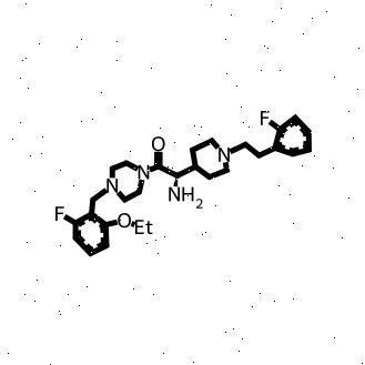 CCOc1cccc(F)c1CN1CCN(C(=O)[C@H](N)C2CCN(CCc3ccccc3F)CC2)CC1